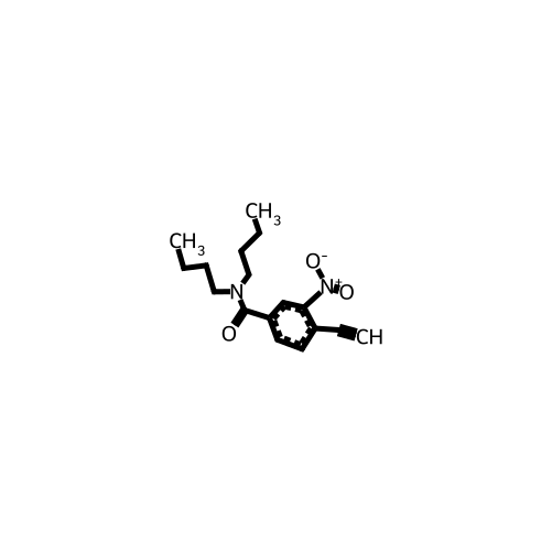 C#Cc1ccc(C(=O)N(CCCC)CCCC)cc1[N+](=O)[O-]